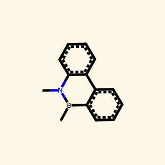 CB1c2ccccc2-c2ccccc2N1C